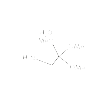 COC(CN)(OC)OC.O